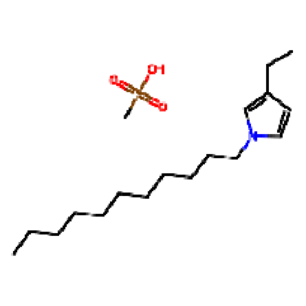 CCCCCCCCCCCn1ccc(CC)c1.CS(=O)(=O)O